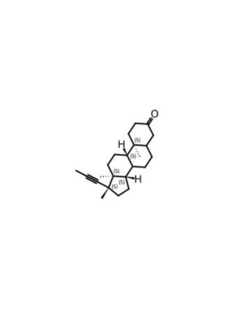 CC#C[C@@]1(C)CC[C@H]2C3CCC4CC(=O)CC[C@]4(C)[C@H]3CC[C@@]21C